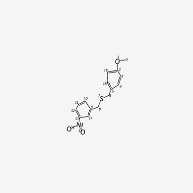 COc1ccc(CSCc2cccc([N+](=O)[O-])c2)cc1